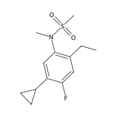 CCc1cc(F)c(C2CC2)cc1N(C)S(C)(=O)=O